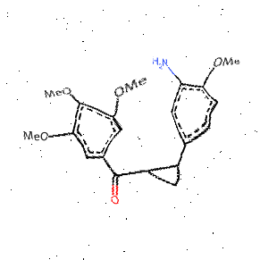 COc1ccc(C2CC2C(=O)c2cc(OC)c(OC)c(OC)c2)cc1N